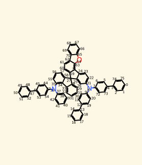 c1ccc(-c2ccc(N(c3ccc(-c4ccccc4)cc3)c3ccc4c(c3)C3(c5ccccc5-c5c(N(c6ccccc6)c6ccc(-c7ccccc7)cc6)cccc53)c3ccc5c(oc6ccccc65)c3-4)cc2)cc1